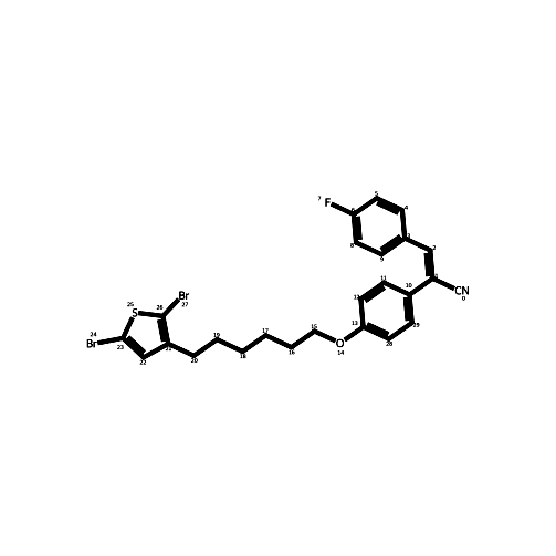 N#CC(=Cc1ccc(F)cc1)c1ccc(OCCCCCCc2cc(Br)sc2Br)cc1